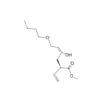 C=C[C@@H](C/C(O)=C\COCCCC)C(=O)OC